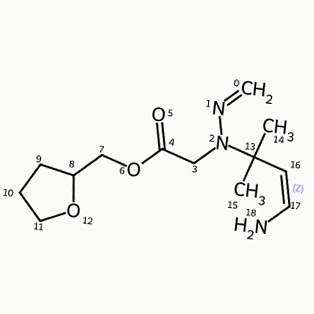 C=NN(CC(=O)OCC1CCCO1)C(C)(C)/C=C\N